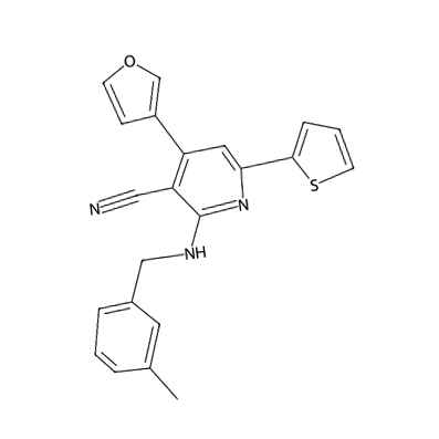 Cc1cccc(CNc2nc(-c3cccs3)cc(-c3ccoc3)c2C#N)c1